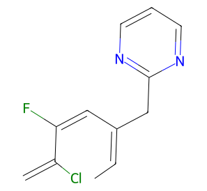 C=C(Cl)/C(F)=C\C(=C/C)Cc1ncccn1